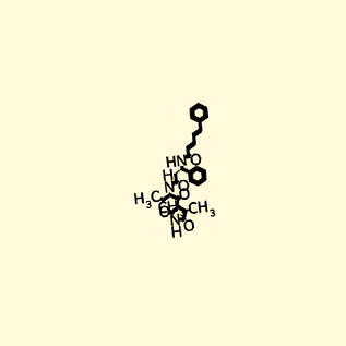 CC(C)[C@H](NC(=O)C[C@H](NC(=O)/C=C/C=C/c1ccccc1)c1ccccc1)C(=O)[C@@H]1C(=O)NC(=O)[C@H]1C